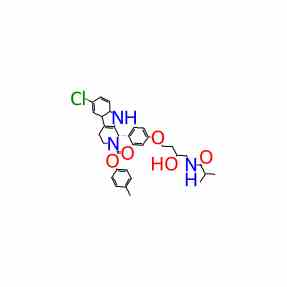 Cc1ccc(OC(=O)N2CCC3=C(NC4C=CC(Cl)=CC34)[C@@H]2c2ccc(OCCC(O)CNC(=O)C(C)C)cc2)cc1